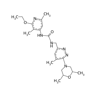 CCOc1nc(C)cc(NC(=O)NCc2cc(C)c(N3CC(C)OC(C)C3)nn2)c1C